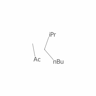 CC(C)=O.CCCCCC(C)C